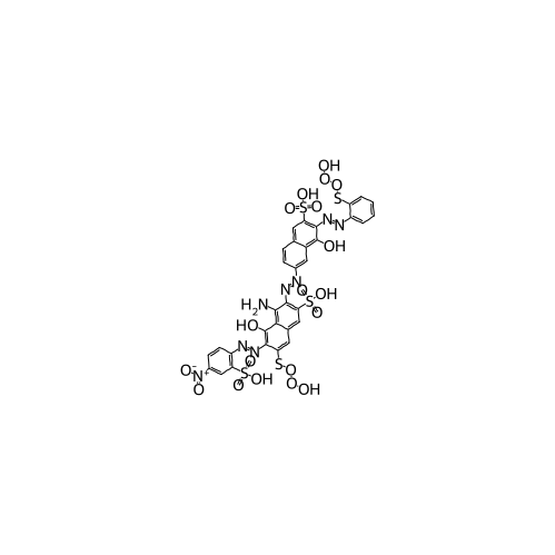 Nc1c(N=Nc2ccc3cc(S(=O)(=O)O)c(N=Nc4ccccc4SOOO)c(O)c3c2)c(S(=O)(=O)O)cc2cc(SOOO)c(N=Nc3ccc([N+](=O)[O-])cc3S(=O)(=O)O)c(O)c12